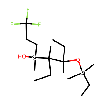 CCC(C)(O[Si](C)(C)CC)C(C)(CC)[Si](C)(O)CCC(F)(F)F